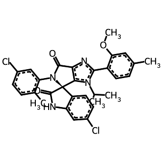 COc1cc(C)ccc1-c1nc2c(n1C(C)C)[C@]1(C(=O)Nc3cc(Cl)ccc31)N(c1cc(Cl)ccc1C)C2=O